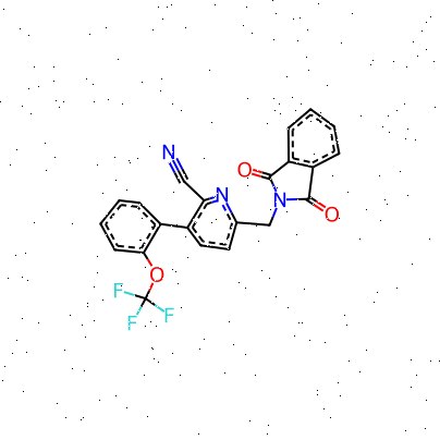 N#Cc1nc(CN2C(=O)c3ccccc3C2=O)ccc1-c1ccccc1OC(F)(F)F